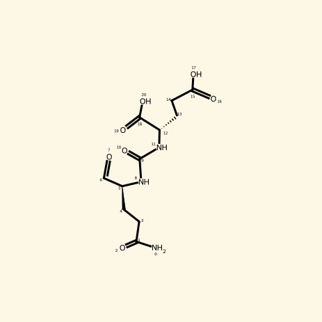 NC(=O)CC[C@@H](C=O)NC(=O)N[C@@H](CCC(=O)O)C(=O)O